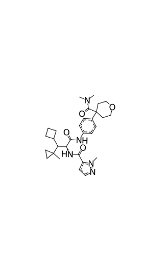 CN(C)C(=O)C1(c2ccc(NC(=O)[C@@H](NC(=O)c3ccnn3C)C(C3CCC3)C3(C)CC3)cc2)CCOCC1